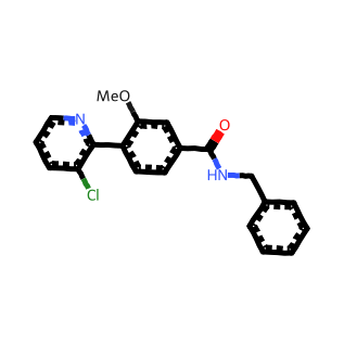 COc1cc(C(=O)NCc2ccccc2)ccc1-c1ncccc1Cl